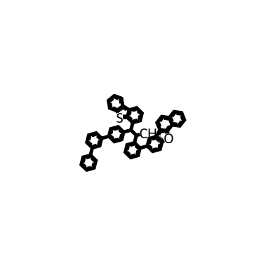 CC(c1ccccc1-c1ccc2oc3c4ccccc4ccc3c2c1)C(c1ccc(-c2cccc(-c3ccccc3)c2)cc1)c1cccc2c1sc1ccccc12